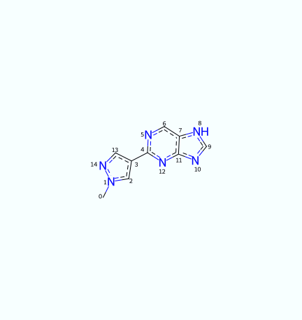 Cn1cc(-c2ncc3[nH]cnc3n2)cn1